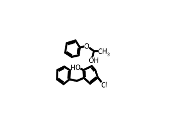 CC(O)Oc1ccccc1.Oc1ccc(Cl)cc1Cc1ccccc1